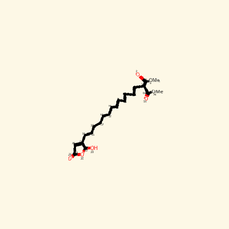 COC(=O)C(CCCCCCCCCCCCCC1=CC(=O)OC1O)C(=O)OC